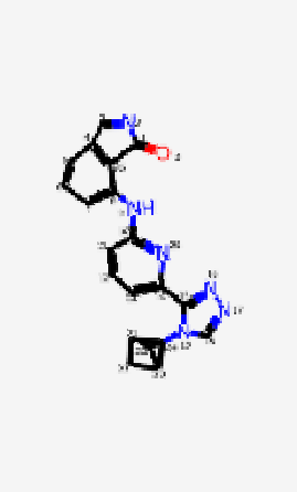 O=C1N=Cc2cccc(Nc3cccc(-c4nncn4C4C5CC4C5)n3)c21